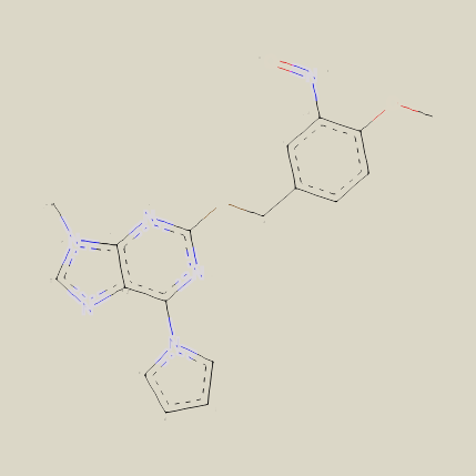 COc1ccc(CSc2nc(-n3cccc3)c3ncn(C)c3n2)cc1N=O